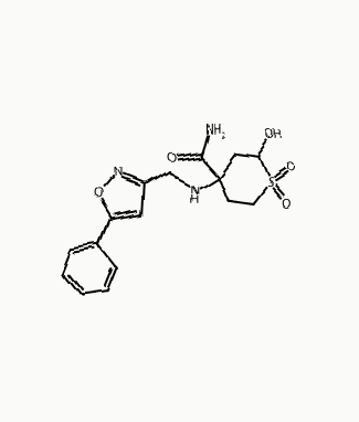 NC(=O)C1(NCc2cc(-c3ccccc3)on2)CCS(=O)(=O)C(O)C1